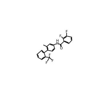 Cc1cc(NC(=O)c2cccc(F)c2F)ccc1-c1ccccc1C(F)(F)F